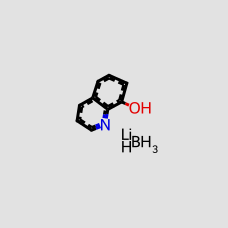 B.Oc1cccc2cccnc12.[LiH]